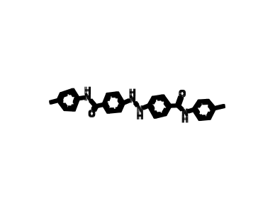 Cc1ccc(NC(=O)c2ccc(NNc3ccc(C(=O)Nc4ccc(C)cc4)cc3)cc2)cc1